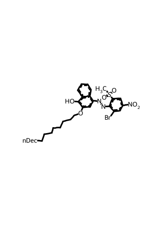 CCCCCCCCCCCCCCCCCCOc1cc(N=Nc2c(Br)cc([N+](=O)[O-])cc2S(C)(=O)=O)c2ccccc2c1O